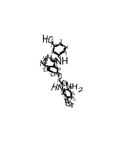 C#Cc1cccc(Nc2ncnc3ccc(OCC(=O)Nc4cc(Br)ccc4N)cc23)c1